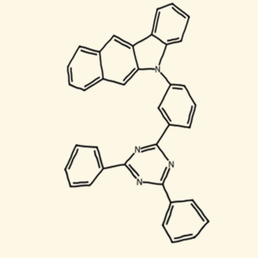 c1ccc(-c2nc(-c3ccccc3)nc(-c3cccc(-n4c5ccccc5c5cc6ccccc6cc54)c3)n2)cc1